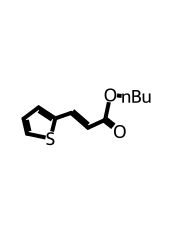 CCCCOC(=O)C=Cc1cccs1